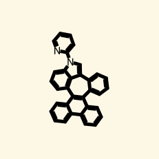 c1ccc(-n2cc3c4c(cccc42)-c2c(c4ccccc4c4ccccc24)-c2ccccc2-3)nc1